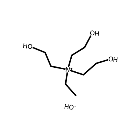 CC[N+](CCO)(CCO)CCO.[OH-]